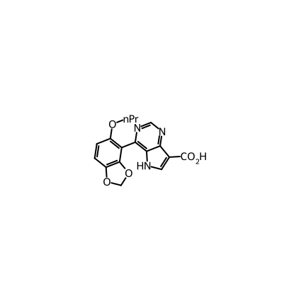 CCCOc1ccc2c(c1-c1ncnc3c(C(=O)O)c[nH]c13)OCO2